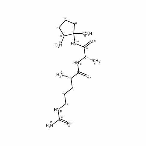 C[C@H](NC(=O)[C@@H](N)CCCNC(=N)N)C(=O)NC1(C(=O)O)CCCC1[N+](=O)[O-]